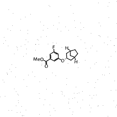 COC(=O)c1cc(F)cc(O[C@@H]2C[C@@H]3CC[C@@H](C3)C2)c1